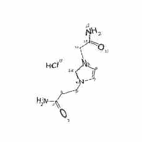 Cl.NC(=O)CCN1C=CN(CC(N)=O)C1